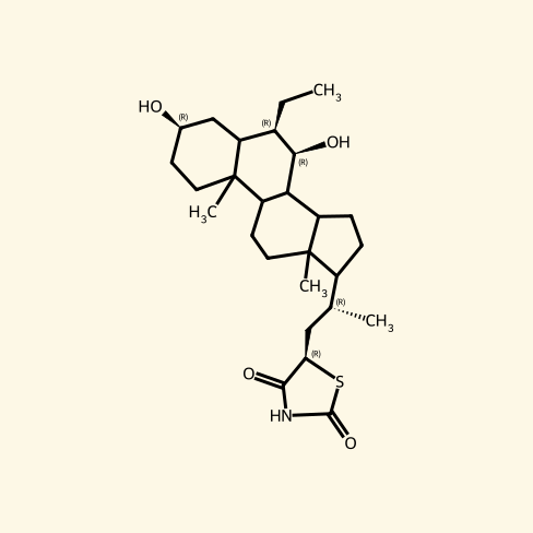 CC[C@@H]1C2C[C@H](O)CCC2(C)C2CCC3(C)C(CCC3[C@H](C)C[C@H]3SC(=O)NC3=O)C2[C@@H]1O